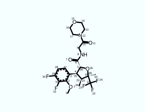 COc1c([C@H]2[C@H](C(=O)NCC(=O)N3CCOCC3)O[C@@](C)(C(F)(F)F)[C@H]2C)ccc(F)c1F